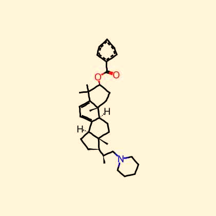 C[C@H](CN1CCCCC1)[C@H]1CC[C@H]2C3=CC=C4C(C)(C)[C@@H](OC(=O)c5ccccc5)CC[C@]4(C)[C@H]3CC[C@]12C